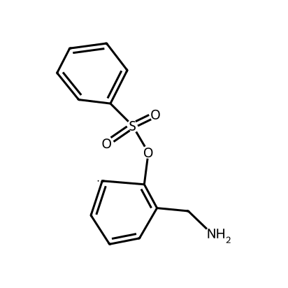 NCc1ccc[c]c1OS(=O)(=O)c1ccccc1